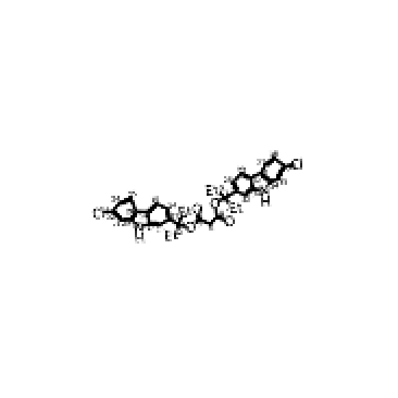 CCC(CC)(OC(=O)CC(=O)OC(CC)(CC)c1ccc2c(c1)[nH]c1cc(Cl)ccc12)c1ccc2c(c1)[nH]c1cc(Cl)ccc12